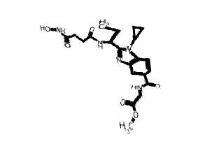 CCC(NC(=O)CCC(=O)NO)c1nc2cc(C(=O)NCC(=O)OC)ccc2n1C1CC1